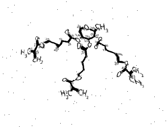 C=C(C)C(=O)OCCCCC(=O)O[C@H]1[C@H](OC(=O)CCCCOC(=O)C(=C)C)COC(C)[C@@H]1OC(=O)CCCCOC(=O)C(=C)C